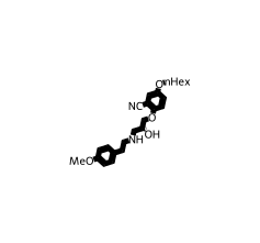 CCCCCCOc1ccc(OC[C@H](O)CNCCc2ccc(OC)cc2)c(C#N)c1